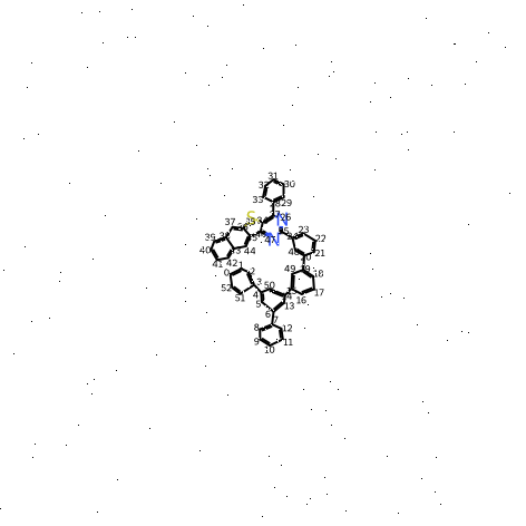 c1ccc(-c2cc(-c3ccccc3)cc(-c3cccc(-c4cccc(-c5nc(-c6ccccc6)c6sc7cc8ccccc8cc7c6n5)c4)c3)c2)cc1